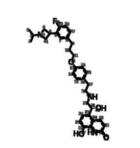 CC(C)N1CC(c2cc(CCCOc3ccc(CCNC[C@H](O)c4ccc(O)c5[nH]c(=O)ccc45)cc3)ccc2F)C1